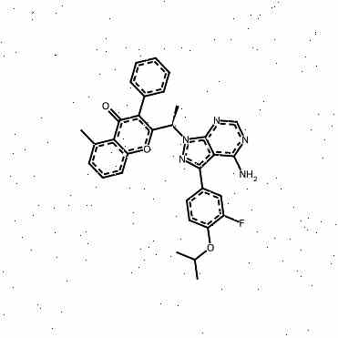 Cc1cccc2oc([C@@H](C)n3nc(-c4ccc(OC(C)C)c(F)c4)c4c(N)ncnc43)c(-c3ccccc3)c(=O)c12